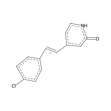 O=c1cc(/C=C/c2ccc(Cl)cc2)cc[nH]1